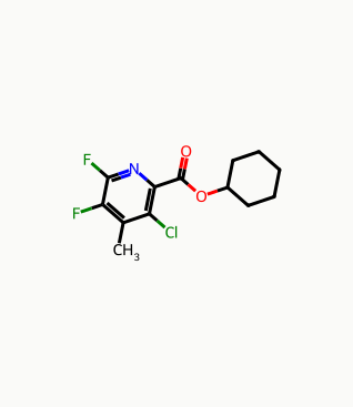 Cc1c(F)c(F)nc(C(=O)OC2CCCCC2)c1Cl